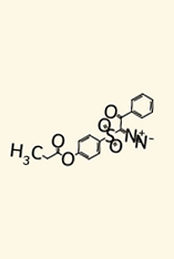 CCC(=O)Oc1ccc(S(=O)(=O)C(=[N+]=[N-])C(=O)c2ccccc2)cc1